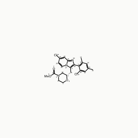 COC(=O)N1CCO[C@@H](Cc2c(-c3c(C)cc(C)cc3Cl)nc3cc(Cl)ccn23)C1